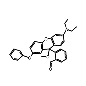 CCN(CC)c1ccc2c(c1)Oc1ccc(Oc3ccccc3)cc1C2(OC)c1ccccc1C=O